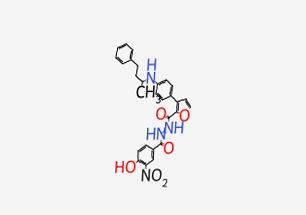 CC(CCc1ccccc1)Nc1ccc(-c2ccoc2C(=O)NNC(=O)c2ccc(O)c([N+](=O)[O-])c2)cc1